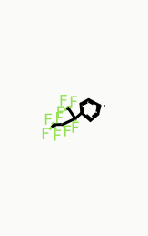 FC(F)(F)C(F)(F)C(F)(c1cc[c]cc1)C(F)(F)F